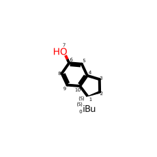 CC[C@H](C)[C@@H]1CCc2cc(O)ccc21